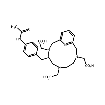 CC(=S)Nc1ccc(CC2CN(CC(=O)O)CCN(CC(=O)O)Cc3cccc(n3)CN2CC(=O)O)cc1